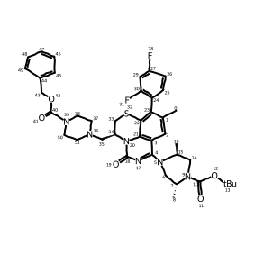 Cc1cc2c(N3C[C@@H](C)N(C(=O)OC(C)(C)C)C[C@@H]3C)nc(=O)n3c2c(c1-c1ccc(F)cc1F)SC[C@@H]3CN1CCN(C(=O)OCc2ccccc2)CC1